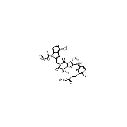 COC(=O)CCc1nc(Nc2nc3c(c(=O)n(Cc4cc5c(Cl)cccc5n4C(=O)OC(C)(C)C)c(=O)n3C)n2C)ccc1Cl